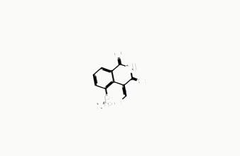 CO/C=C1/C(=O)NC(=O)c2cccc(Br)c21